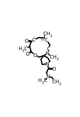 CCN(C)CC(=O)N1CCC2(CC1)COC(=O)C(C)C(=O)CC[C@@H](C)CCCN2C